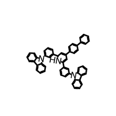 C1=C(c2ccc(-c3ccccc3)cc2)C=C(c2cccc(-n3c4ccccc4c4ccccc43)c2)NC1c1cccc(-n2c3ccccc3c3ccccc32)c1